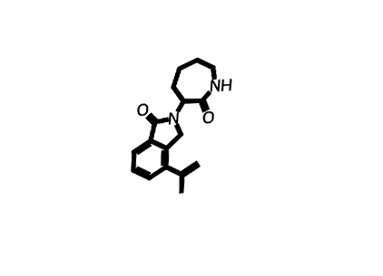 C=C(C)c1cccc2c1CN(C1CCCCNC1=O)C2=O